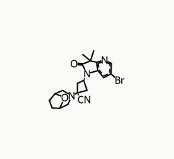 CC1(C)C(=O)N([C@H]2C[C@@](C#N)(N3CC4CCC(C3)O4)C2)c2cc(Br)cnc21